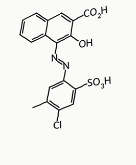 Cc1cc(/N=N/c2c(O)c(C(=O)O)cc3ccccc23)c(S(=O)(=O)O)cc1Cl